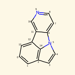 c1cc2ccn3c4ccncc4c(c1)c23